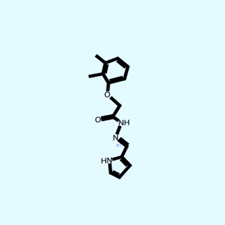 Cc1cccc(OCC(=O)N/N=C/c2ccc[nH]2)c1C